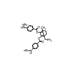 CCCCNc1ccc(C(=O)OC2C(OC(=O)c3ccc(NCCCC)cc3)C3(CP)CCC2(C)CC3)cc1